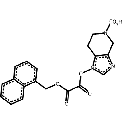 O=C(OCc1cccc2ccccc12)C(=O)On1cnc2c1CCN(C(=O)O)C2